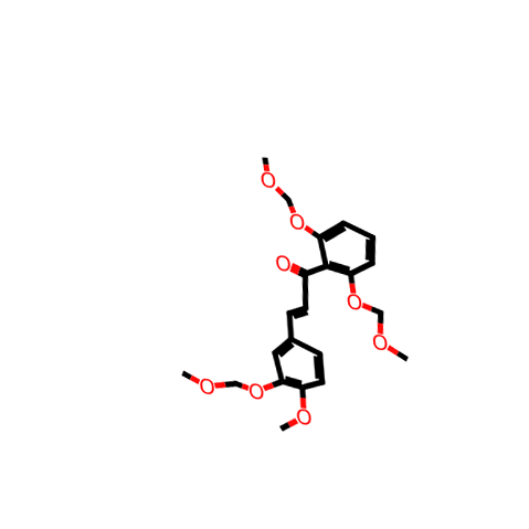 COCOc1cc(/C=C/C(=O)c2c(OCOC)cccc2OCOC)ccc1OC